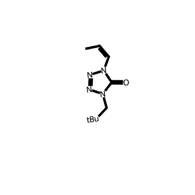 C/C=C\n1nnn(CC(C)(C)C)c1=O